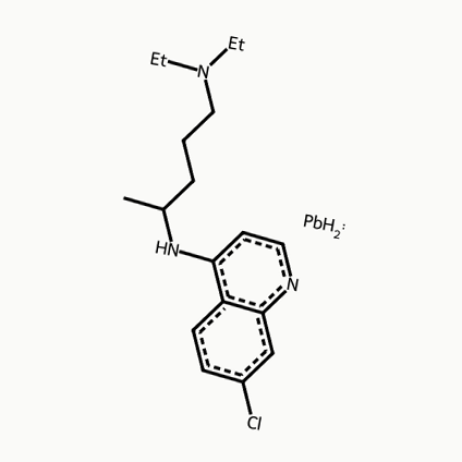 CCN(CC)CCCC(C)Nc1ccnc2cc(Cl)ccc12.[PbH2]